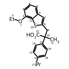 CCOc1cccc2cc(CC(C)(C(=O)O)c3ccc(C(C)C)cc3)sc12